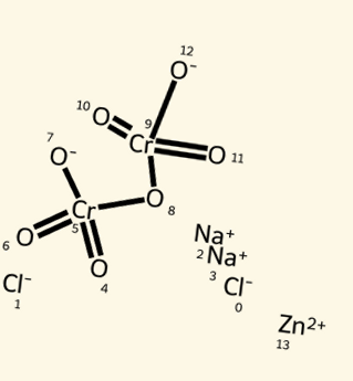 [Cl-].[Cl-].[Na+].[Na+].[O]=[Cr](=[O])([O-])[O][Cr](=[O])(=[O])[O-].[Zn+2]